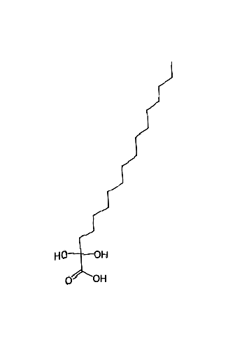 CCCCCCCCCCCCCCCC(O)(O)C(=O)O